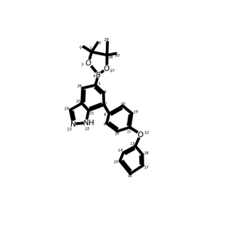 CC1(C)OB(c2cc(-c3ccc(Oc4ccccc4)cc3)c3[nH]ncc3c2)OC1(C)C